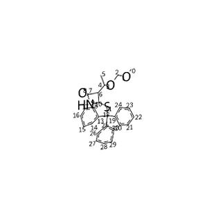 COCOC(C)C1C(=O)NC1SC(c1ccccc1)(c1ccccc1)c1ccccc1